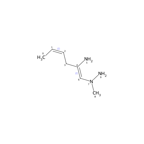 C/C=C\C/C(N)=C/N(C)N